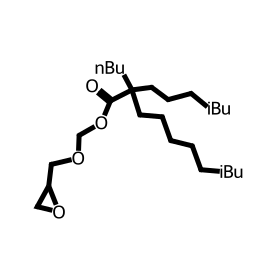 CCCCC(CCCCCC(C)CC)(CCCC(C)CC)C(=O)OCOCC1CO1